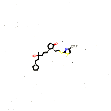 C[C@@](O)(C/C=C/[C@H]1CCC(=O)[C@@H]1CCSc1nc(C(=O)O)cs1)CCC1CCCC1